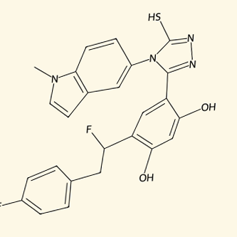 Cn1ccc2cc(-n3c(S)nnc3-c3cc(C(F)Cc4ccc(F)cc4)c(O)cc3O)ccc21